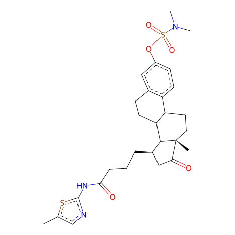 Cc1cnc(NC(=O)CCC[C@@H]2CC(=O)[C@@]3(C)CCC4c5ccc(OS(=O)(=O)N(C)C)cc5CCC4C23)s1